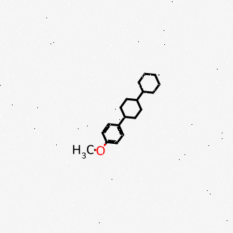 COc1ccc(C2CCC(C3CC[CH]CC3)CC2)cc1